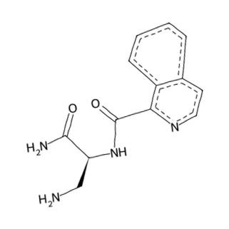 NC[C@H](NC(=O)c1nccc2ccccc12)C(N)=O